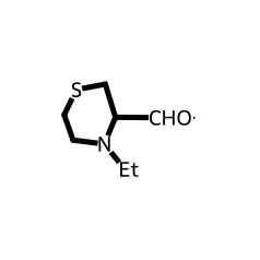 CCN1CCSCC1[C]=O